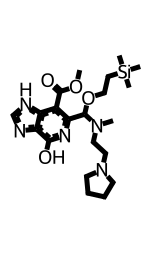 COC(=O)c1c(C(OCC[Si](C)(C)C)N(C)CCN2CCCC2)nc(O)c2nc[nH]c12